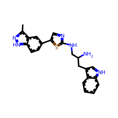 Cc1n[nH]c2ccc(-c3cnc(NCC(N)Cc4c[nH]c5ccccc45)s3)cc12